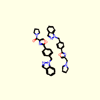 O=C(c1coc(-c2ccc(Cn3ncc4ccccc43)cc2)n1)N1CCCC1.c1ccc2c(c1)cnn2Cc1ccc(-c2nc(CN3CCCC3)co2)cc1